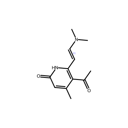 CC(=O)c1c(C)cc(=O)[nH]c1/C=C/N(C)C